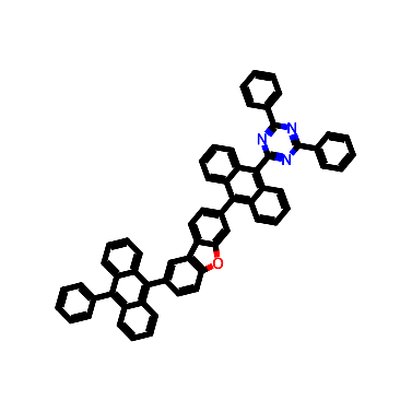 c1ccc(-c2nc(-c3ccccc3)nc(-c3c4ccccc4c(-c4ccc5c(c4)oc4ccc(-c6c7ccccc7c(-c7ccccc7)c7ccccc67)cc45)c4ccccc34)n2)cc1